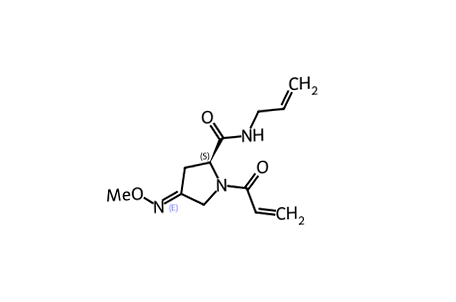 C=CCNC(=O)[C@@H]1C/C(=N\OC)CN1C(=O)C=C